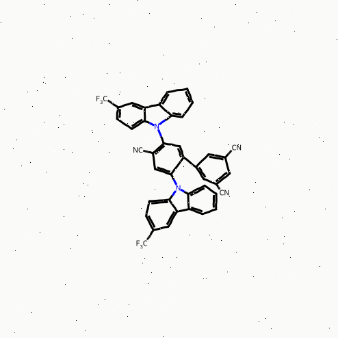 N#Cc1cc(C#N)cc(-c2cc(-n3c4ccccc4c4cc(C(F)(F)F)ccc43)c(C#N)cc2-n2c3ccccc3c3cc(C(F)(F)F)ccc32)c1